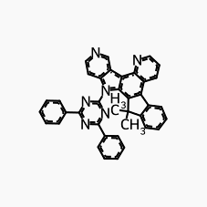 CC1(C)c2ccccc2-c2c1c1c(c3cnccc3n1-c1nc(-c3ccccc3)nc(-c3ccccc3)n1)c1ncccc21